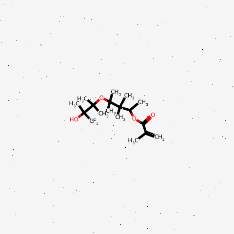 C=C(C)C(=O)OC(C)C(C)(C)C(C)(C)OC(C)(C)C(C)(O)C(F)(F)F